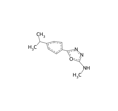 CNc1nnc(-c2ccc(C(C)C)cc2)o1